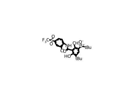 Cc1c([S+]([O-])C(C)(C)C)cc(C(C)(C)C)c(O)c1C(=O)Nc1ccc(S(=O)(=O)C(F)(F)F)cc1Cl